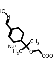 CC(C)(OCC(=O)[O-])C1CC=C(C=NO)CC1.[Na+]